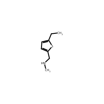 CCc1ccc(CNC)s1